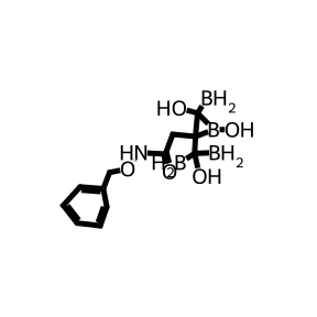 BC(B)(O)C1(CC(=O)NOCc2ccccc2)B(O)C1(B)O